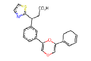 O=C(O)CC(c1cccc(C2=COC=C(C3=CC=CCC3)O2)c1)c1nccs1